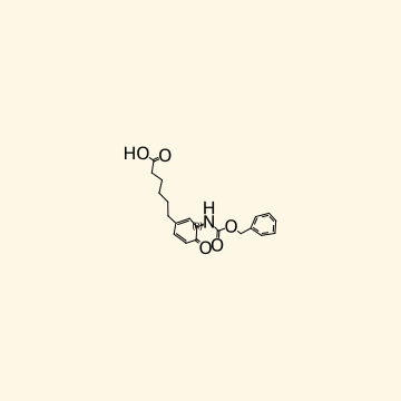 O=C(O)CCCCCC1=C[C@@H](NC(=O)OCc2ccccc2)C(=O)C=C1